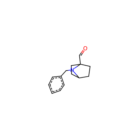 O=CC12CCC(CC1)N2Cc1ccccc1